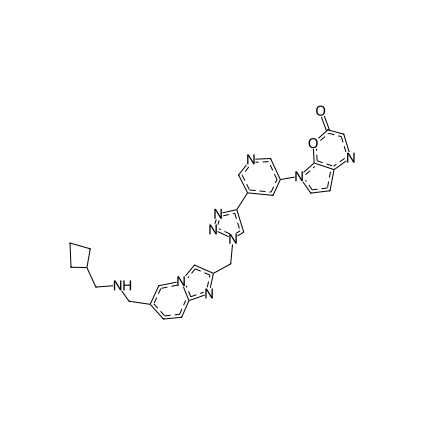 O=c1cnc2ccn(-c3cncc(-c4cn(Cc5cn6cc(CNCC7CCC7)ccc6n5)nn4)c3)c2o1